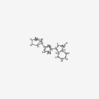 Cn1cc(-c2nsc(C3CN4CCC3C4)n2)c2ccccc21